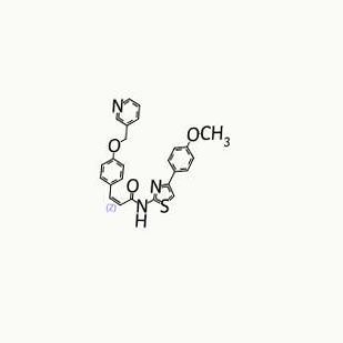 COc1ccc(-c2csc(NC(=O)/C=C\c3ccc(OCc4cccnc4)cc3)n2)cc1